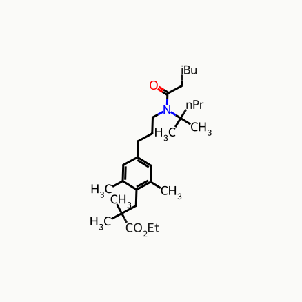 CCCC(C)(C)N(CCCc1cc(C)c(CC(C)(C)C(=O)OCC)c(C)c1)C(=O)CC(C)CC